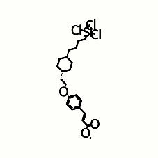 COC(=O)C=Cc1ccc(OCC[C@H]2CC[C@H](CCCC[Si](Cl)(Cl)Cl)CC2)cc1